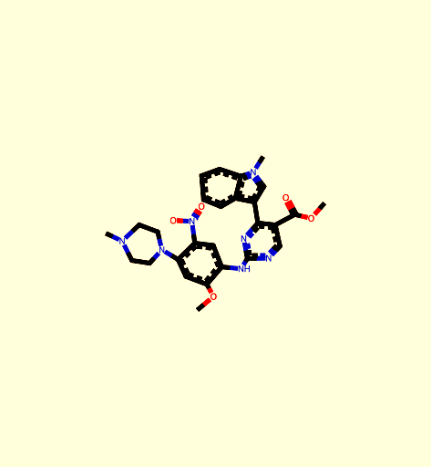 COC(=O)c1cnc(Nc2cc([N+](=O)[O-])c(N3CCN(C)CC3)cc2OC)nc1-c1cn(C)c2ccccc12